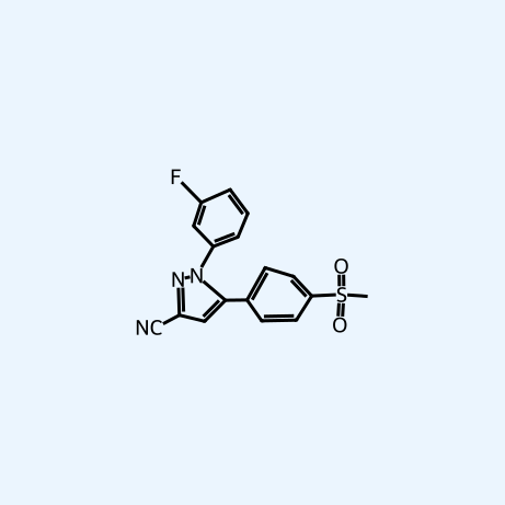 CS(=O)(=O)c1ccc(-c2cc(C#N)nn2-c2cccc(F)c2)cc1